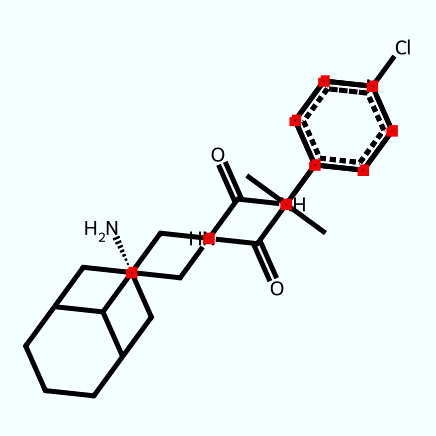 CC(C)(C(=O)NC[C@@H](N)C1C2CCCC1CC(CCC(=O)Nc1ccncc1)C2)c1ccc(Cl)cc1